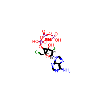 Nc1ncnc2c1ncn2[C@@H]1O[C@]2(CCl)C(OP(=O)(O)OP(=O)(O)OP(=O)(O)O)[C@]2(O)[C@H]1F